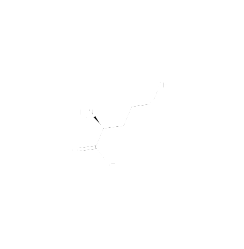 CSCC[C@H](N)C(=O)S